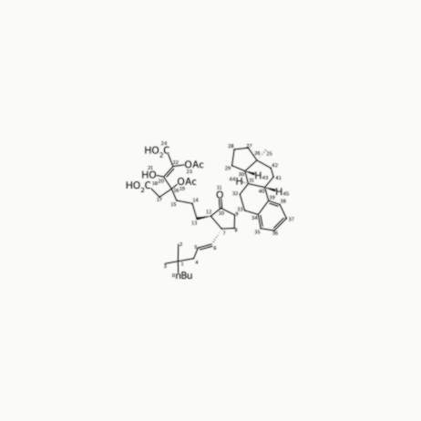 CCCCC(C)(C)C/C=C/[C@H]1CCC(=O)[C@@H]1CCCC(CC(=O)O)(OC(C)=O)/C(O)=C(\OC(C)=O)C(=O)O.C[C@@]12CCC[C@H]1[C@@H]1CCc3ccccc3[C@H]1CC2